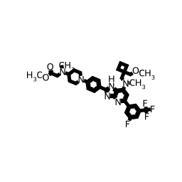 COCC1(CN(C)c2cc(-c3cc(F)cc(C(F)(F)F)c3)nc3nc(-c4ccc(N5CCC(N(C)CC(=O)OC)CC5)cc4)[nH]c23)CCC1